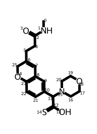 CNC(=O)CCC1=Cc2cc(C(C(O)=S)N3CCOCC3)ccc2OC1